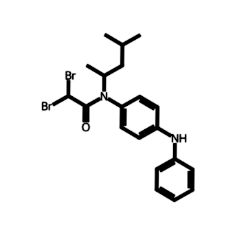 CC(C)CC(C)N(C(=O)C(Br)Br)c1ccc(Nc2ccccc2)cc1